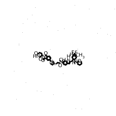 CN(C(=O)CC[C@@H]1CCN(c2ccc3c(c2)C(=O)N(C2CCC(=O)NC2=O)C3=O)C1)c1ccc2cc(-c3nn(C4CCCCO4)c4c3C[C@@H]3C(F)(F)[C@]3(C)C4)[nH]c2c1